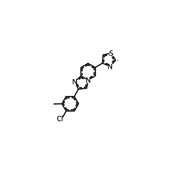 Cc1cc(-c2cn3cc(-c4cs[c]n4)ccc3n2)ccc1Cl